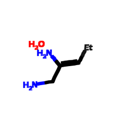 CCC=C(N)CN.O